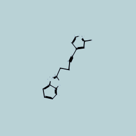 Clc1cc(C#CCCc2nc3ccccc3o2)ccn1